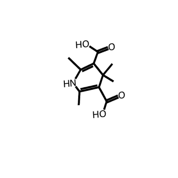 CC1=C(C(=O)O)C(C)(C)C(C(=O)O)=C(C)N1